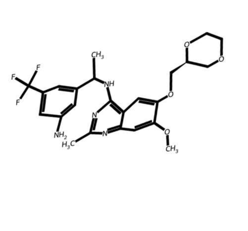 COc1cc2nc(C)nc(NC(C)c3cc(N)cc(C(F)(F)F)c3)c2cc1OC[C@@H]1COCCO1